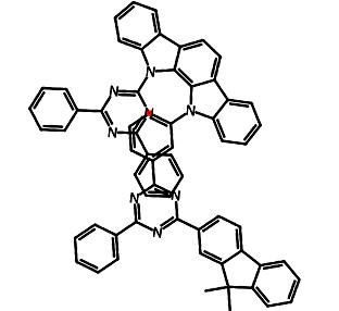 CC1(C)c2ccccc2-c2ccc(-c3nc(-c4ccccc4)nc(-c4cccc(-n5c6ccccc6c6ccc7c8ccccc8n(-c8nc(-c9ccccc9)nc(-c9ccccc9)n8)c7c65)c4)n3)cc21